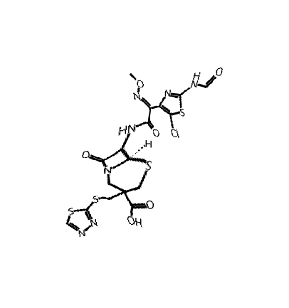 CON=C(C(=O)NC1C(=O)N2CC(CSc3nncs3)(C(=O)O)CS[C@H]12)c1nc(NC=O)sc1Cl